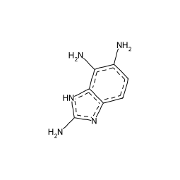 Nc1nc2ccc(N)c(N)c2[nH]1